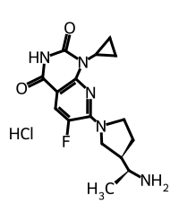 C[C@H](N)[C@@H]1CCN(c2nc3c(cc2F)c(=O)[nH]c(=O)n3C2CC2)C1.Cl